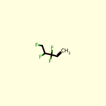 C=CC(F)(F)C(F)CF